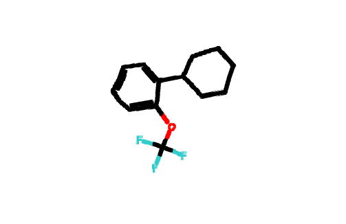 FC(F)(F)Oc1ccccc1C1CCCCC1